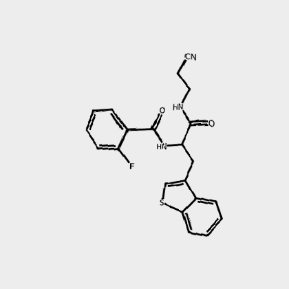 N#CCCNC(=O)C(Cc1csc2ccccc12)NC(=O)c1ccccc1F